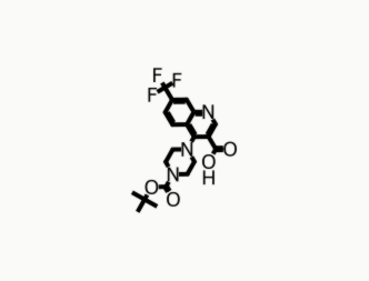 CC(C)(C)OC(=O)N1CCN(c2c(C(=O)O)cnc3cc(C(F)(F)F)ccc23)CC1